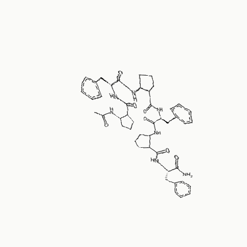 CC(=O)NC1CCCC1C(=O)N[C@@H](Cc1ccccc1)C(=O)NC1CCCC1C(=O)N[C@@H](Cc1ccccc1)C(=O)NC1CCCC1C(=O)N[C@@H](Cc1ccccc1)C(N)=O